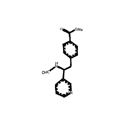 COC(=O)c1ccc(CC(NC=O)c2cccnc2)cc1